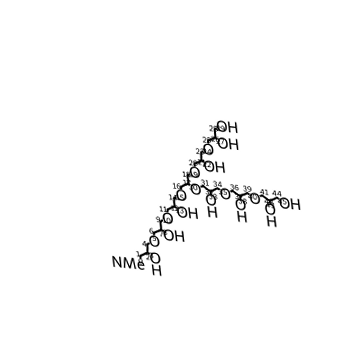 CNCC(O)COCC(O)COCC(O)COCC(COCC(O)COCC(O)CO)OCC(O)COCC(O)COCC(O)CO